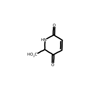 O=C1C=CC(=O)C(C(=O)O)N1